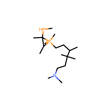 CPC1(C)C(C)=P1(C)CCC(C)C(C)(C)CCN(C)C